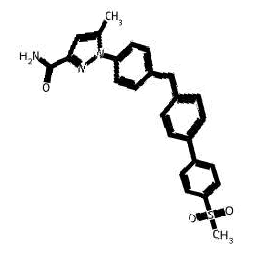 Cc1cc(C(N)=O)nn1-c1ccc(Cc2ccc(-c3ccc(S(C)(=O)=O)cc3)cc2)cc1